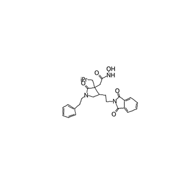 CC(C)CC1(CC(=O)NO)C(=O)N(CCc2ccccc2)CC1CCN1C(=O)c2ccccc2C1=O